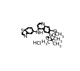 COc1cc2nccc(Nc3ccc4scnc4c3)c2cc1S(=O)(=O)C(C)(C)C.Cl